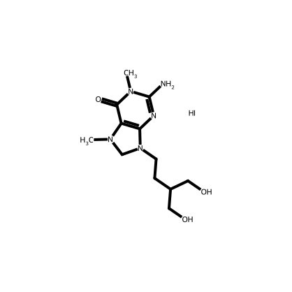 CN1CN(CCC(CO)CO)c2nc(N)n(C)c(=O)c21.I